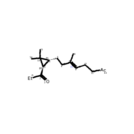 CCC(=O)[C@@H]1[C@@H](CC/C(C)=C/CCC(C)=O)C1(C)C